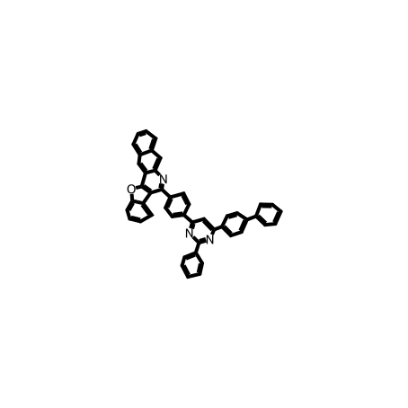 c1ccc(-c2ccc(-c3cc(-c4ccc(-c5nc6cc7ccccc7cc6c6oc7ccccc7c56)cc4)nc(-c4ccccc4)n3)cc2)cc1